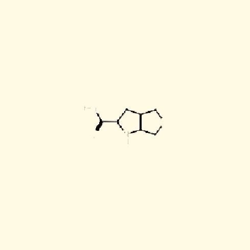 CC(C)(C)C(=O)C1CC2CSCC2N1